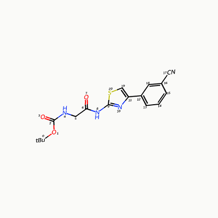 CC(C)(C)OC(=O)NCC(=O)Nc1nc(-c2cccc(C#N)c2)cs1